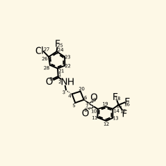 O=C(NC[C@H]1C[C@H](S(=O)(=O)c2cccc(C(F)(F)F)c2)C1)c1ccc(F)c(Cl)c1